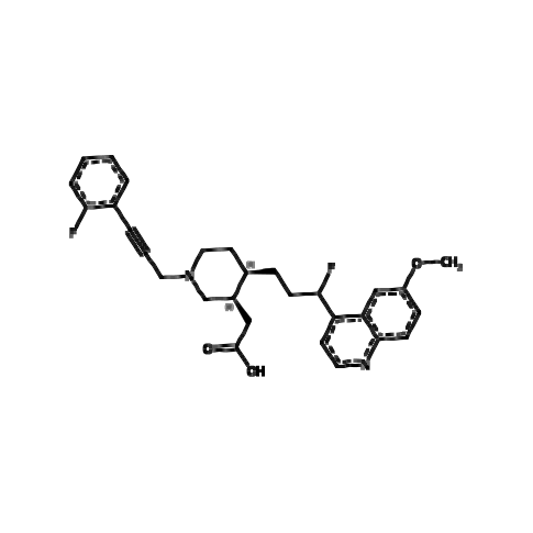 COc1ccc2nccc(C(F)CC[C@@H]3CCN(CC#Cc4ccccc4F)C[C@@H]3CC(=O)O)c2c1